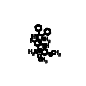 COc1cc(Nc2nc(N[C@H](c3ccccc3)[C@H](N)c3ccccc3)c(F)cc2C(N)=O)cc(OC)c1